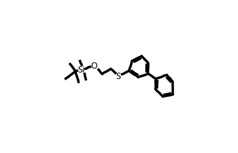 CC(C)(C)[Si](C)(C)OCCSc1cccc(-c2ccccc2)c1